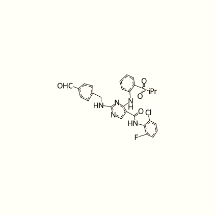 CC(C)S(=O)(=O)c1ccccc1Nc1nc(NCc2ccc(C=O)cc2)ncc1C(=O)Nc1c(F)cccc1Cl